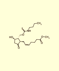 CCCCNC(=S)OC[C@H]1[C@H](O)CC(=O)[C@@H]1C/C=C\CCCC(=O)OC